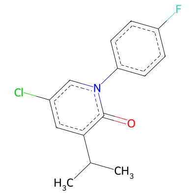 CC(C)c1cc(Cl)cn(-c2ccc(F)cc2)c1=O